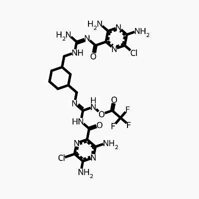 NC(=NC(=O)c1nc(Cl)c(N)nc1N)NCC1CCCC(CN=C(NOC(=O)C(F)(F)F)NC(=O)c2nc(Cl)c(N)nc2N)C1